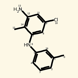 Cc1cccc(Nc2cc(Cl)cc(N)c2C)c1